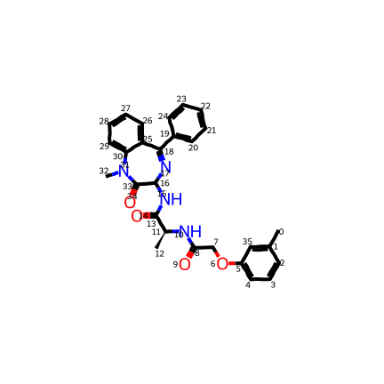 Cc1cccc(OCC(=O)N[C@@H](C)C(=O)NC2N=C(c3ccccc3)c3ccccc3N(C)C2=O)c1